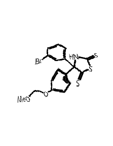 COCOc1ccc(C2(c3cccc(Br)c3)NC(=S)SC2=S)cc1